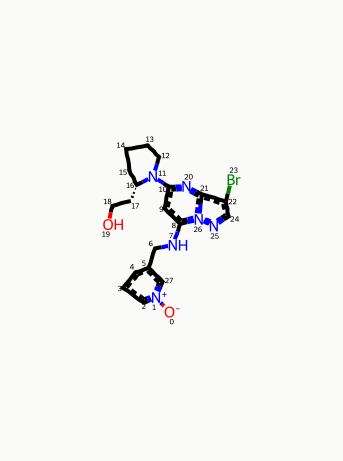 [O-][n+]1cccc(CNc2cc(N3CCCC[C@H]3CCO)nc3c(Br)cnn23)c1